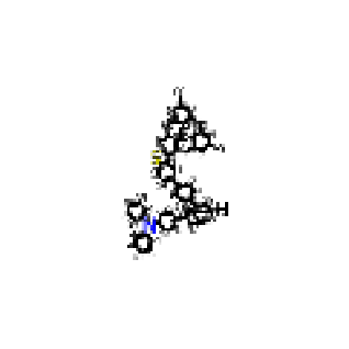 Cc1cc(C)c(B(c2ccc3sc4ccc(-c5ccc(C67CC8C[C@@H](C6)CC(c6ccc(N(c9ccccc9)c9ccccc9)cc6)(C8)C7)cc5)cc4c3c2)c2c(C)cc(C)cc2C)c(C)c1